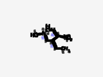 C/C=C(/C=N/O)C(=C/C)\[N+](=O)[O-]